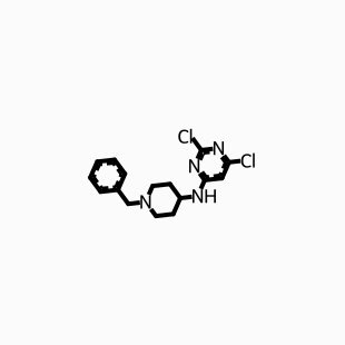 Clc1cc(NC2CCN(Cc3ccccc3)CC2)nc(Cl)n1